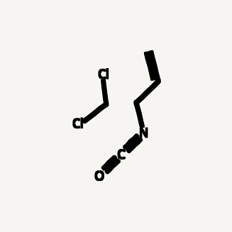 C=CCN=C=O.ClCCl